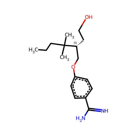 CCCC(C)(C)[C@H](CCO)COc1ccc(C(=N)N)cc1